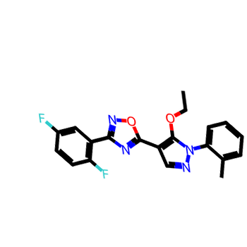 CCOc1c(-c2nc(-c3cc(F)ccc3F)no2)cnn1-c1ccccc1C